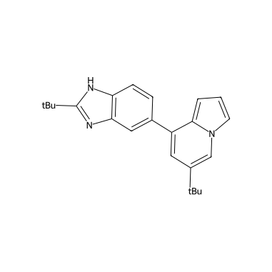 CC(C)(C)c1cc(-c2ccc3[nH]c(C(C)(C)C)nc3c2)c2cccn2c1